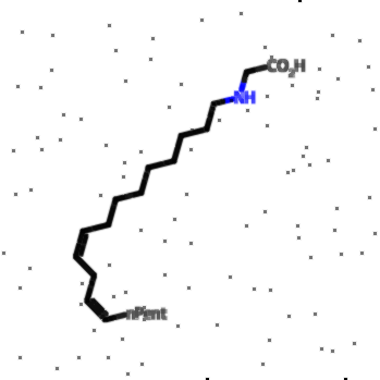 CCCCC/C=C\C/C=C\CCCCCCCCNCC(=O)O